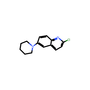 Clc1ccc2cc(N3CCCCC3)ccc2n1